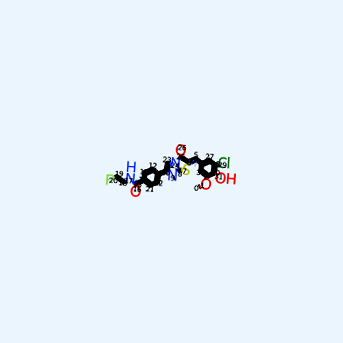 COc1cc(/C=c2\sc3nc(-c4ccc(C(=O)NCCF)cc4)cn3c2=O)cc(Cl)c1O